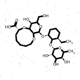 CC[C@@H]1CCC[C@@H](O[C@@H]2OC(CO)[C@H](O)C3O[C@@H](C(=O)O)CCCCCOC32)C1O[C@@H]1OC(C)[C@@H](O)C(O)[C@@H]1O